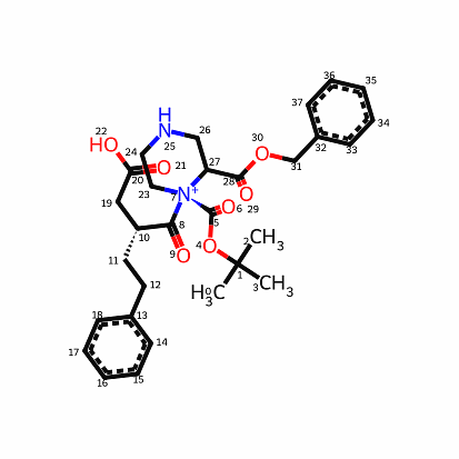 CC(C)(C)OC(=O)[N@@+]1(C(=O)[C@H](CCc2ccccc2)CC(=O)O)CCNCC1C(=O)OCc1ccccc1